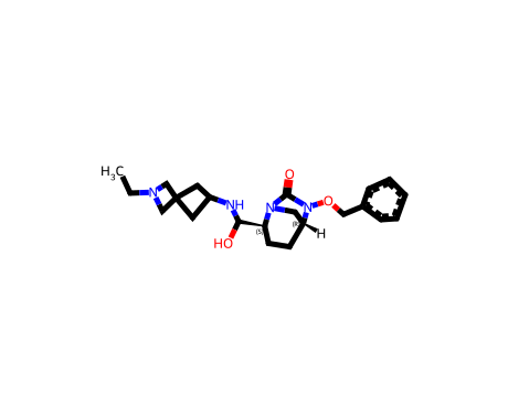 CCN1CC2(CC(NC(O)[C@@H]3CC[C@@H]4CN3C(=O)N4OCc3ccccc3)C2)C1